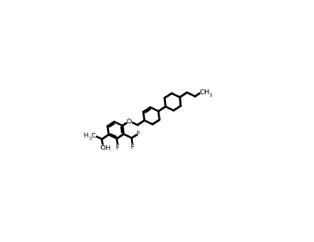 CCCC1CCC(C2C=CC(COc3ccc(C(C)O)c(F)c3C(F)F)CC2)CC1